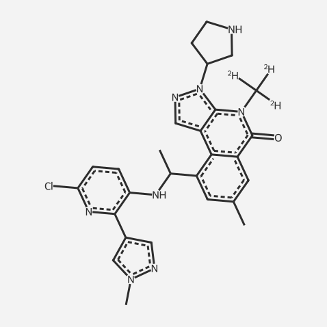 [2H]C([2H])([2H])n1c(=O)c2cc(C)cc(C(C)Nc3ccc(Cl)nc3-c3cnn(C)c3)c2c2cnn(C3CCNC3)c21